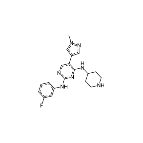 Cn1cc(-c2cnc(Nc3cccc(F)c3)nc2NC2CCNCC2)cn1